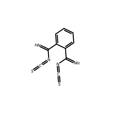 N=C(N=C=S)c1ccccc1C(=N)N=C=S